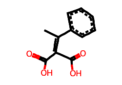 CC(=C(C(=O)O)C(=O)O)c1ccccc1